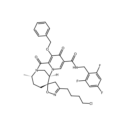 C[C@H]1CC[C@]2(CC(CCCCCl)=NO2)[C@H]2CN1C(=O)c1c(OCc3ccccc3)c(=O)c(C(=O)NCc3c(F)cc(F)cc3F)cn12